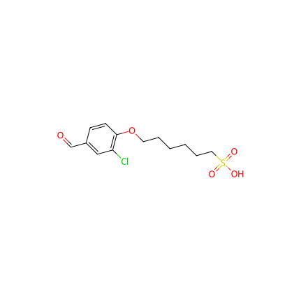 O=Cc1ccc(OCCCCCCS(=O)(=O)O)c(Cl)c1